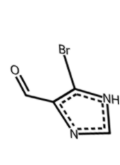 O=Cc1nc[nH]c1Br